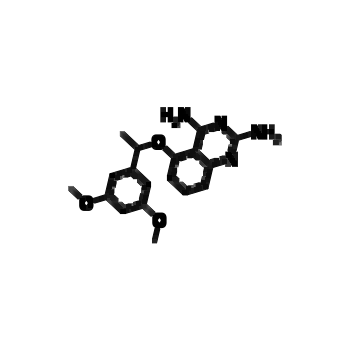 COc1cc(OC)cc(C(C)Oc2cccc3nc(N)nc(N)c23)c1